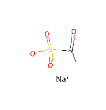 CC(=O)S(=O)(=O)[O-].[Na+]